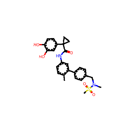 Cc1ccc(NC(=O)C2(c3ccc(O)c(O)c3)CC2)cc1-c1ccc(CN(C)S(C)(=O)=O)cc1